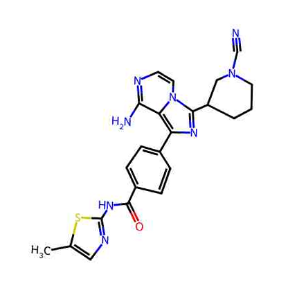 Cc1cnc(NC(=O)c2ccc(-c3nc(C4CCCN(C#N)C4)n4ccnc(N)c34)cc2)s1